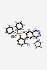 CC(C)(C)[Si](Oc1cccc(F)c1-c1cc2c(C3CCCC3)nncc2cc1Cl)(c1ccccc1)c1ccccc1